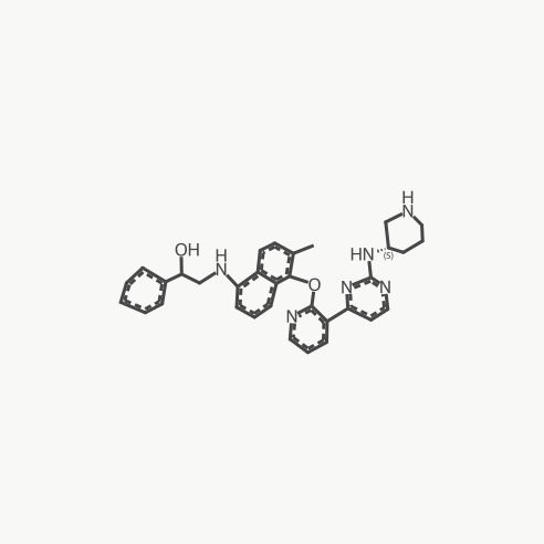 Cc1ccc2c(NCC(O)c3ccccc3)cccc2c1Oc1ncccc1-c1ccnc(N[C@H]2CCCNC2)n1